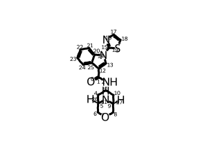 O=C(N[C@H]1C[C@H]2COC[C@@H](C1)N2)c1cn(-c2nccs2)c2ccccc12